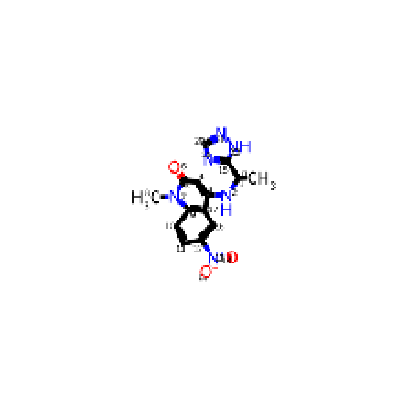 CC(Nc1cc(=O)n(C)c2ccc([N+](=O)[O-])cc12)c1ncn[nH]1